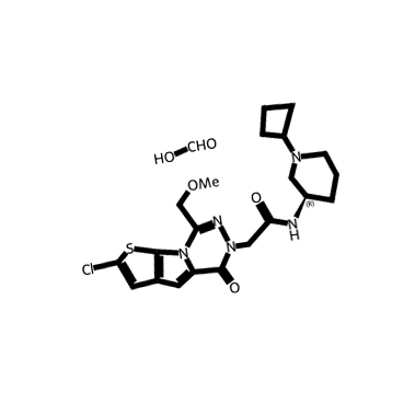 COCc1nn(CC(=O)N[C@@H]2CCCN(C3CCC3)C2)c(=O)c2cc3cc(Cl)sc3n12.O=CO